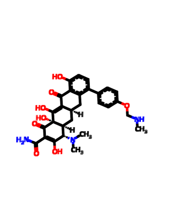 CNCOc1ccc(-c2ccc(O)c3c2C[C@H]2C[C@H]4[C@H](N(C)C)C(O)=C(C(N)=O)C(=O)[C@@]4(O)C(O)=C2C3=O)cc1